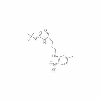 Cc1ccc([N+](=O)[O-])c(NCCCC(C=O)NC(=O)OC(C)(C)C)c1